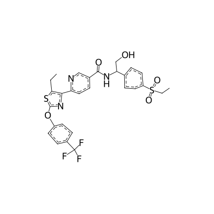 CCc1sc(Oc2ccc(C(F)(F)F)cc2)nc1-c1ccc(C(=O)NC(CO)c2ccc(S(=O)(=O)CC)cc2)cn1